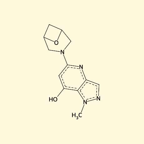 Cn1ncc2nc(N3CC4CC(C3)O4)cc(O)c21